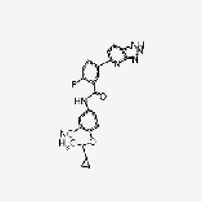 CC(Oc1ccc(NC(=O)c2cc(-c3ccc4[nH]nnc4n3)ccc2F)cc1C#N)C1CC1